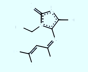 CCn1c(/N=C(/Br)C=C(C)C)c(C)[nH]c1=O